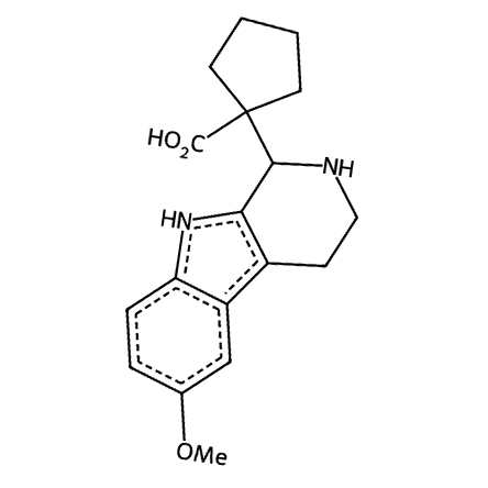 COc1ccc2[nH]c3c(c2c1)CCNC3C1(C(=O)O)CCCC1